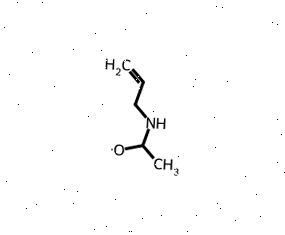 C=CCNC(C)[O]